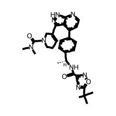 C[C@@H](NC(=O)c1noc(C(C)(C)C)n1)c1ccc(-c2ccnc3[nH]nc(C4=CCCN(C(=O)N(C)C)C4)c23)cc1